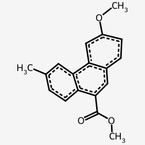 COC(=O)c1cc2ccc(OC)cc2c2cc(C)ccc12